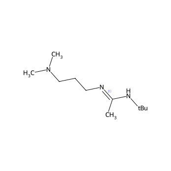 C/C(=N\CCCN(C)C)NC(C)(C)C